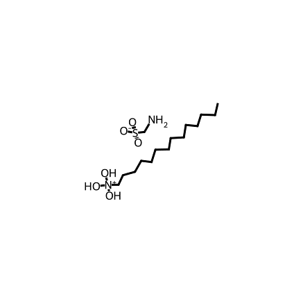 CCCCCCCCCCCCCC[N+](O)(O)O.NCS(=O)(=O)[O-]